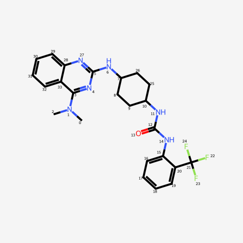 CN(C)c1nc(NC2CCC(NC(=O)Nc3ccccc3C(F)(F)F)CC2)nc2ccccc12